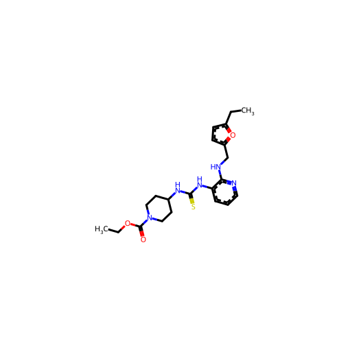 CCOC(=O)N1CCC(NC(=S)Nc2cccnc2NCc2ccc(CC)o2)CC1